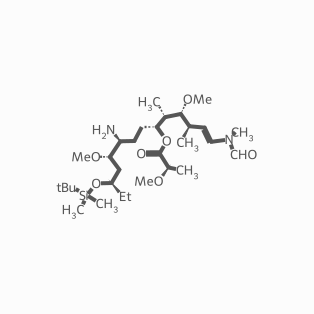 CC[C@H](C[C@H](OC)[C@@H](N)CC[C@@H](OC(=O)[C@@H](C)OC)[C@H](C)[C@H](OC)[C@H](C)/C=C/N(C)C=O)O[Si](C)(C)C(C)(C)C